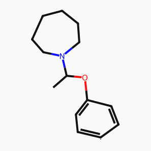 CC(Oc1cc[c]cc1)N1CCCCCC1